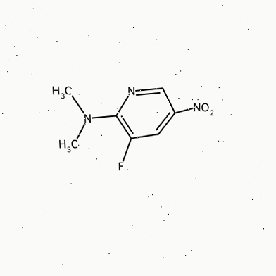 CN(C)c1ncc([N+](=O)[O-])cc1F